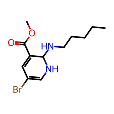 CCCCCNC1NC=C(Br)C=C1C(=O)OC